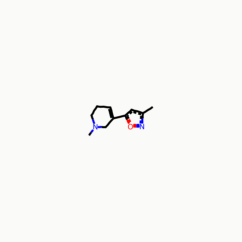 Cc1cc(C2=CCCN(C)C2)on1